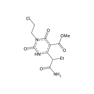 CCC(C(N)=O)c1[nH]c(=O)n(CCCl)c(=O)c1C(=O)OC